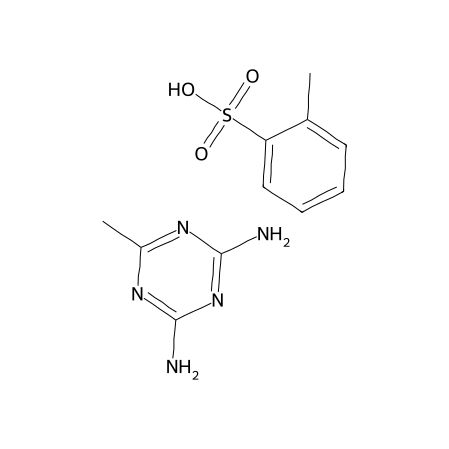 Cc1ccccc1S(=O)(=O)O.Cc1nc(N)nc(N)n1